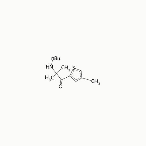 CCCCNC(C)(C)C(=O)c1cc(C)cs1